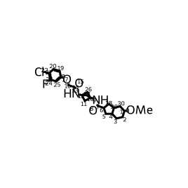 COC1CCC2CC(C(=O)NC34CC(NC(=O)COc5ccc(Cl)c(F)c5)(C3)C4)CC2C1